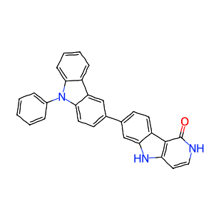 O=c1[nH]ccc2[nH]c3cc(-c4ccc5c(c4)c4ccccc4n5-c4ccccc4)ccc3c12